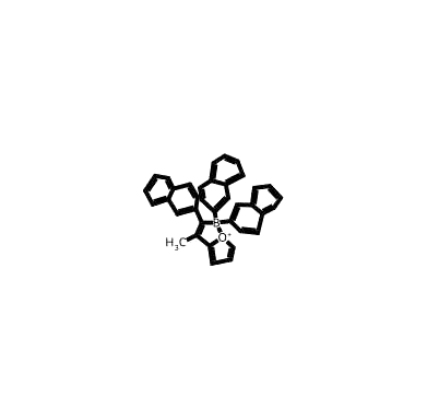 CC1=C(c2ccc3ccccc3c2)[B-](c2ccc3ccccc3c2)(c2ccc3ccccc3c2)[o+]2cccc21